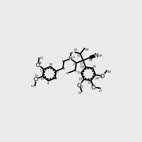 CCC(N(C)CCc1ccc(OC)c(OC)c1)C(C#N)(c1cc(OC)c(OC)c(OC)c1)C(C)C